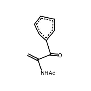 C=C(NC(C)=O)C(=O)c1ccccc1